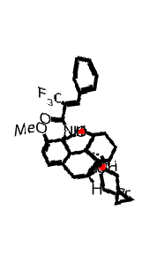 COC1=CC=C2C[C@@H]3C4(O)CCC[C@@H]5OC1(NC(=O)C(=Cc1ccccc1)C(F)(F)F)C2[C@@]54CC[N+]3(CC(C)C)CC1CC1